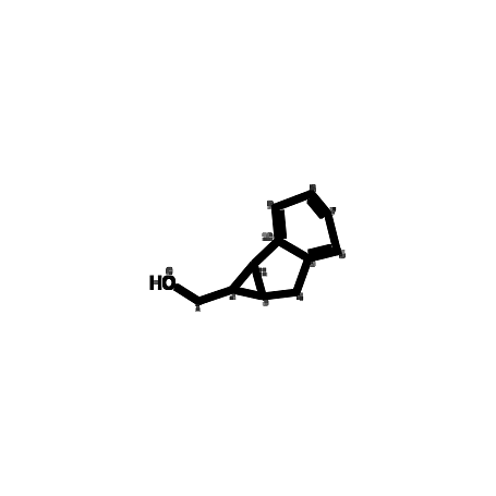 OCC1C2Cc3ccccc3C12